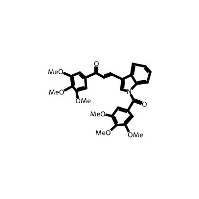 COc1cc(C(=O)/C=C/c2cn(C(=O)c3cc(OC)c(OC)c(OC)c3)c3ccccc23)cc(OC)c1OC